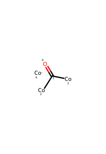 O=[C]([Co])[Co].[Co]